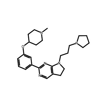 CN1CCC(Oc2cccc(-c3ncc4c(n3)N(CCCN3CCCC3)CC4)c2)CC1